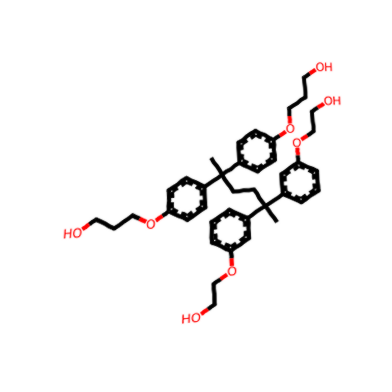 CC(CCC(C)(c1cccc(OCCO)c1)c1cccc(OCCO)c1)(c1ccc(OCCCO)cc1)c1ccc(OCCCO)cc1